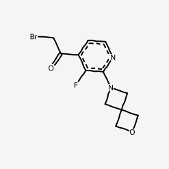 O=C(CBr)c1ccnc(N2CC3(COC3)C2)c1F